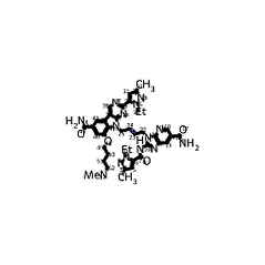 CCn1nc(C)cc1C(=O)Nc1nc2cc(C(N)=O)cnc2n1C/C=C/Cn1c2nc(-c3cc(C)nn3CC)ncc2c2cc(C(N)=O)cc(OCCCCNC)c21